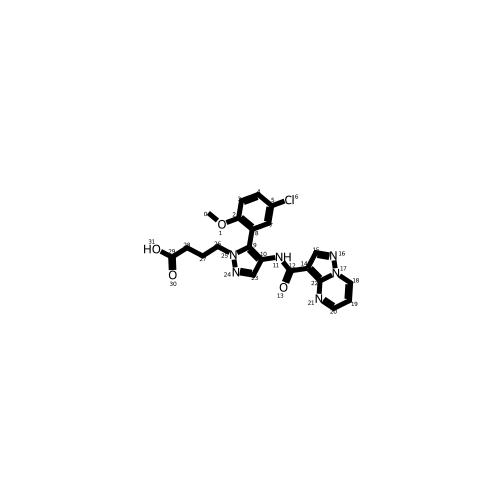 COc1ccc(Cl)cc1-c1c(NC(=O)c2cnn3cccnc23)cnn1CCCC(=O)O